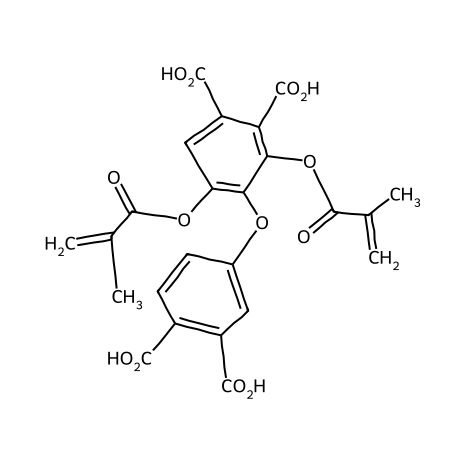 C=C(C)C(=O)Oc1cc(C(=O)O)c(C(=O)O)c(OC(=O)C(=C)C)c1Oc1ccc(C(=O)O)c(C(=O)O)c1